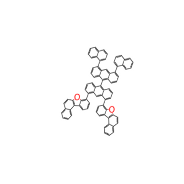 c1ccc2c(-c3cccc4c(-c5c6cccc(-c7cccc8c7oc7ccc9ccccc9c78)c6cc6c(-c7cccc8c7oc7ccc9ccccc9c78)cccc56)c5cccc(-c6cccc7ccccc67)c5cc34)cccc2c1